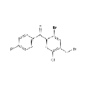 O=C(c1ccc(F)cc1)c1cc(Cl)c(CBr)cc1Br